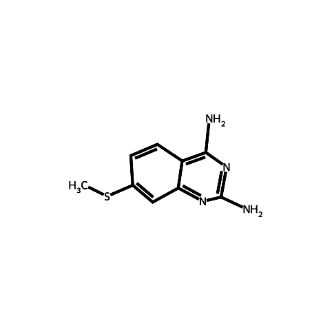 CSc1ccc2c(N)nc(N)nc2c1